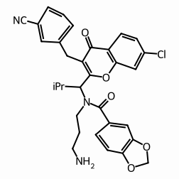 CC(C)C(c1oc2cc(Cl)ccc2c(=O)c1Cc1cccc(C#N)c1)N(CCCN)C(=O)c1ccc2c(c1)OCO2